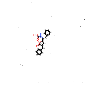 O=C(O)N[C@@H](Cc1ccccc1)C1CC(Cc2ccccc2)C(=O)O1